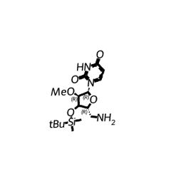 CO[C@@H]1C(O[Si](C)(C)C(C)(C)C)[C@@H](CN)O[C@H]1n1ccc(=O)[nH]c1=O